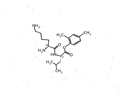 Cc1ccc(OC(=O)[C@H](CC(C)C)NC(=O)[C@@H](N)CCCCN)c(C)c1